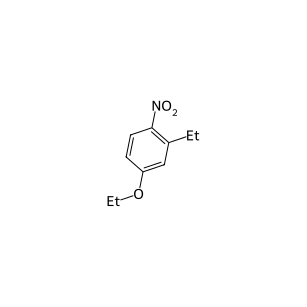 CCOc1ccc([N+](=O)[O-])c(CC)c1